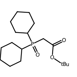 CC(C)(C)OC(=O)CP(=O)(C1CCCCC1)C1CCCCC1